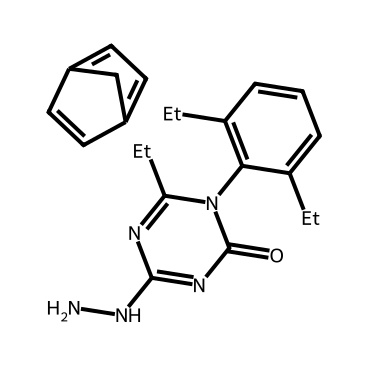 C1=CC2=CC=C1C2.CCc1cccc(CC)c1-n1c(CC)nc(NN)nc1=O